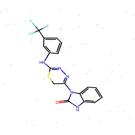 O=c1[nH]c2ccccc2n1C1=NN=C(Nc2cccc(C(F)(F)F)c2)SC1